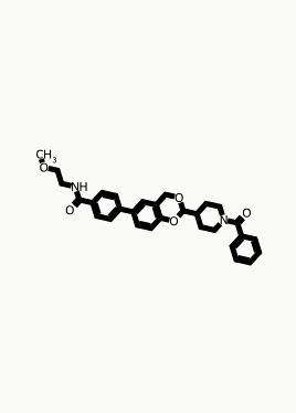 COCCNC(=O)c1ccc(-c2ccc3c(c2)COC(C2CCN(C(=O)c4ccccc4)CC2)O3)cc1